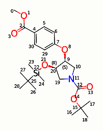 COC(=O)c1ccc(O[C@H]2CN(C(=O)OC(C)(C)C)C[C@H]2O[Si](C)(C)C(C)(C)C)cc1